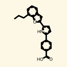 CCCc1cccc2cc(-c3ccc(-c4ccc(C(=O)O)cc4)[nH]3)oc12